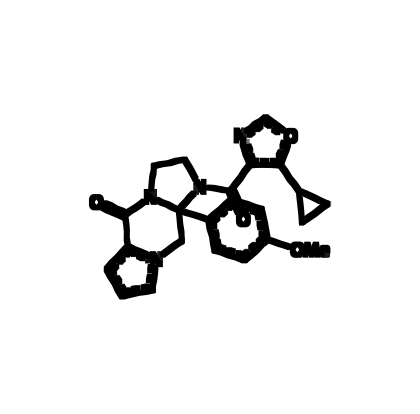 COc1ccc(C23Cn4cccc4C(=O)N2CCN3C(=O)c2ncoc2C2CC2)cc1